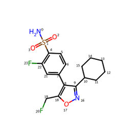 NS(=O)(=O)c1ccc(-c2c(C3CCCCC3)noc2CF)cc1F